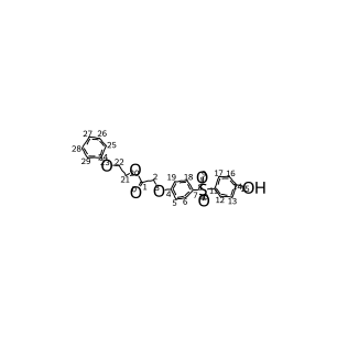 O=C(COc1ccc(S(=O)(=O)c2ccc(O)cc2)cc1)OCCOc1ccccc1